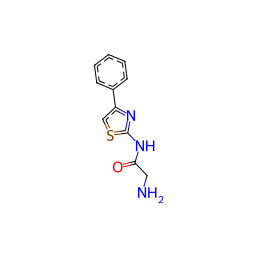 NCC(=O)Nc1nc(-c2ccccc2)cs1